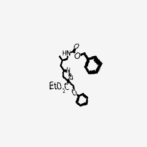 CCOC(=O)C1(COc2ccccc2)CC(CC(C)CNC(=O)OCc2ccccc2)=NO1